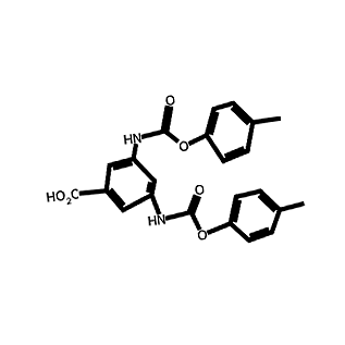 Cc1ccc(OC(=O)Nc2cc(NC(=O)Oc3ccc(C)cc3)cc(C(=O)O)c2)cc1